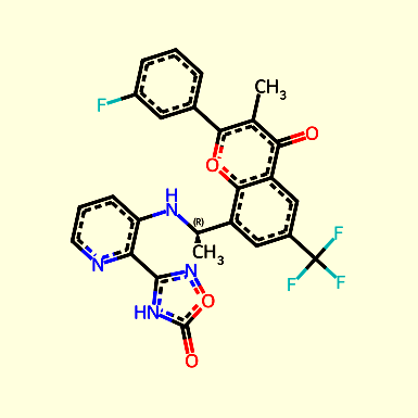 Cc1c(-c2cccc(F)c2)oc2c([C@@H](C)Nc3cccnc3-c3noc(=O)[nH]3)cc(C(F)(F)F)cc2c1=O